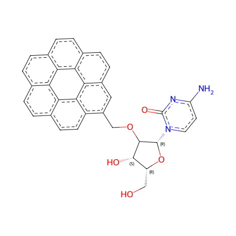 Nc1ccn([C@@H]2O[C@H](CO)[C@H](O)C2OCc2cc3ccc4ccc5ccc6ccc7ccc2c2c7c6c5c4c32)c(=O)n1